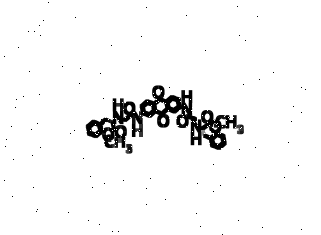 COC(=O)[C@H](Cc1ccccc1)NCC(=O)Nc1ccc2c(c1)C(=O)c1cc(NC(=O)CN[C@H](Cc3ccccc3)C(=O)OC)ccc1C2=O